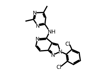 Cc1cc(Nc2nccc3nn(-c4c(Cl)cccc4Cl)cc23)nc(C)n1